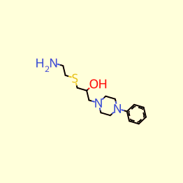 NCCSCC(O)CN1CCN(c2ccccc2)CC1